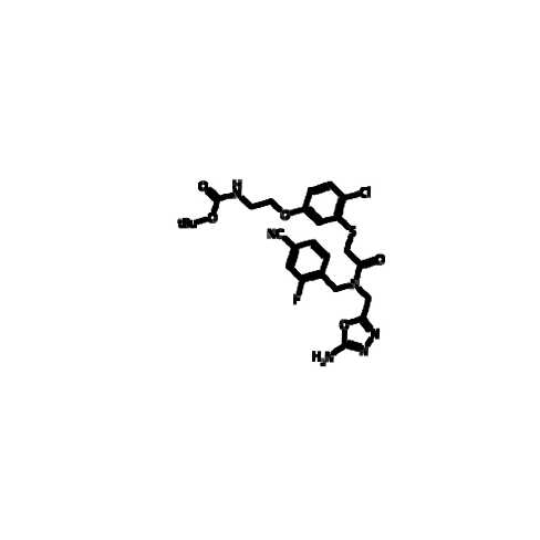 CC(C)(C)OC(=O)NCCOc1ccc(Cl)c(SCC(=O)N(Cc2nnc(N)o2)Cc2ccc(C#N)cc2F)c1